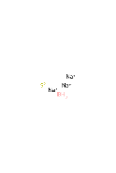 B.[Na+].[Na+].[Na+].[S-2]